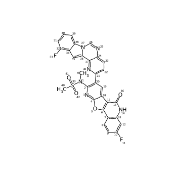 CN(c1nc2oc3c4ccc(F)cc4[nH]c(=O)c3c2cc1-c1ccc2ncn3c4cccc(F)c4cc3c2n1)S(C)(=O)=O